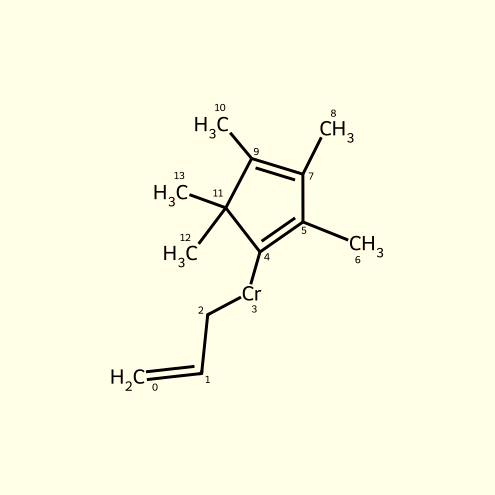 C=C[CH2][Cr][C]1=C(C)C(C)=C(C)C1(C)C